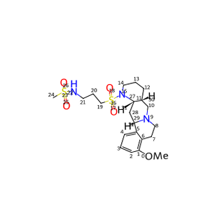 COc1cccc2c1CCN1C[C@H]3CCCN(S(=O)(=O)CCCNS(C)(=O)=O)[C@H]3C[C@@H]21